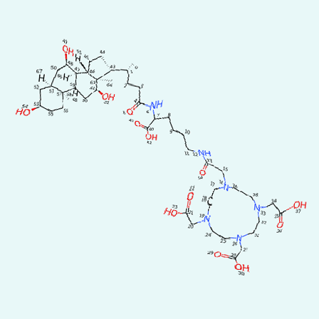 C[C@H](CCC(=O)NC(CCCCNC(=O)CN1CCN(CC(=O)O)CCN(CC(=O)O)CCN(CC(=O)O)CC1)C(=O)O)[C@H]1CC[C@H]2[C@@H]3[C@H](O)C[C@@H]4C[C@H](O)CC[C@]4(C)[C@H]3C[C@H](O)[C@]12C